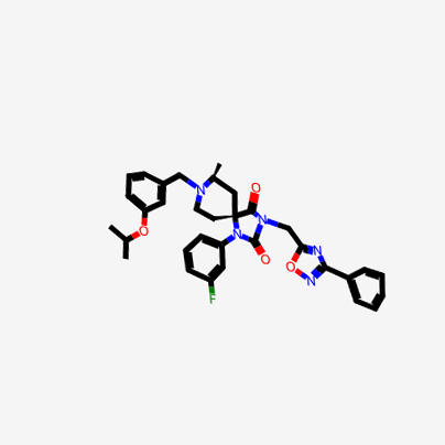 CC(C)Oc1cccc(CN2CC[C@@]3(C[C@@H]2C)C(=O)N(Cc2nc(-c4ccccc4)no2)C(=O)N3c2cccc(F)c2)c1